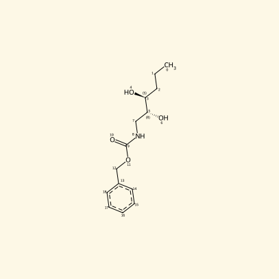 CCC[C@H](O)[C@H](O)CNC(=O)OCc1ccccc1